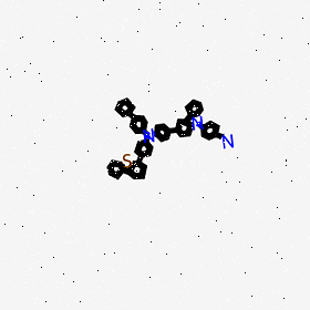 N#Cc1ccc(-n2c3ccccc3c3cc(-c4ccc(N(c5ccc(-c6ccccc6)cc5)c5ccc(-c6cccc7c6sc6ccccc67)cc5)cc4)ccc32)cc1